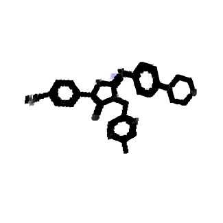 Cc1cnc(CN2C(=O)C(c3ccc(N)cc3)S/C2=N/c2ccc(N3CCOCC3)cc2)cn1